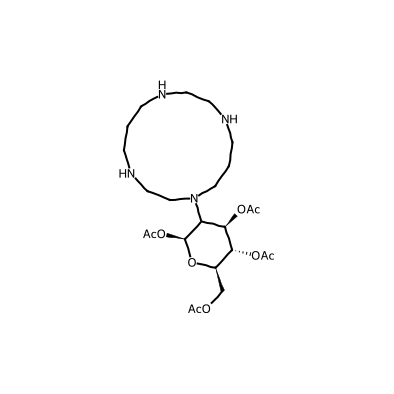 CC(=O)OC[C@H]1O[C@@H](OC(C)=O)C(N2CCCNCCNCCCNCC2)[C@@H](OC(C)=O)[C@@H]1OC(C)=O